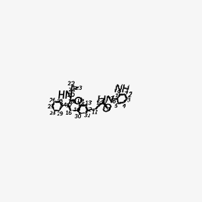 Nc1ccccc1NC(=O)/C=C/c1ccc(C=C(C(=O)NC2CC2)c2ccccc2)cc1